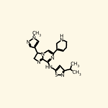 CC(C)c1cc(NC2=NC(C3=CCCNC3)=CN3C2=NCC3c2cnn(C)c2)sn1